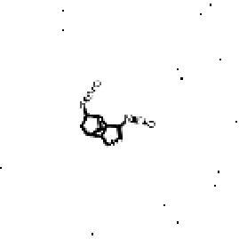 O=C=NC1CC2CC1C1C(N=C=O)CCC21